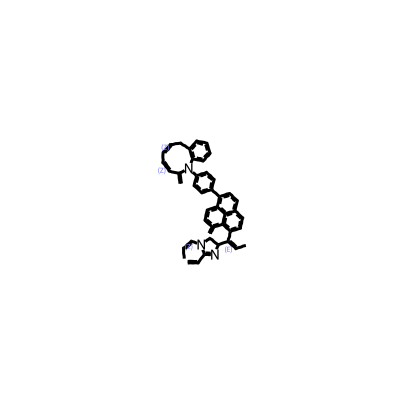 C=CC1=NC(/C(=C/C)c2ccc3ccc(-c4ccc(N5C(=C)/C=C\C=C/Cc6ccccc65)cc4)c4ccc(=C)c2c34)CN1/C=C\C